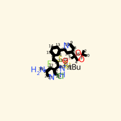 CC1(C)OCC(C)(c2ccnc(-c3cccc4cc(C(N[S+]([O-])C(C)(C)C)c5c(Cl)ncc(N)c5F)sc34)c2)O1